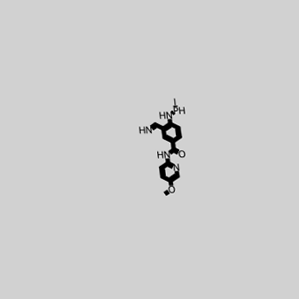 COc1ccc(NC(=O)c2ccc(NPI)c(C=N)c2)nc1